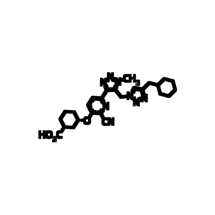 Cn1nnc(-c2ccc(O[C@H]3CCC[C@H](C(=O)O)C3)c(C#N)n2)c1Cn1cc(CC2CCCCC2)nn1